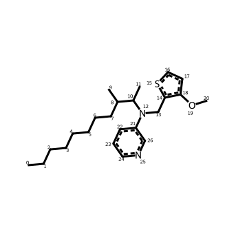 CCCCCCCCC(C)C(C)N(Cc1sccc1OC)c1cccnc1